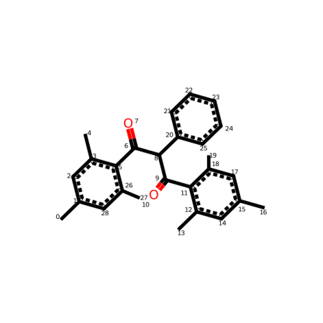 Cc1cc(C)c(C(=O)C(C(=O)c2c(C)cc(C)cc2C)c2ccccc2)c(C)c1